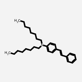 CCCCCCCCN(CCCCCCCC)c1ccc(C=Cc2ccccc2)cc1